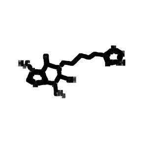 CN1c2ncn(C)c2C(=O)N(CCCCCc2nn[nH]n2)C1O